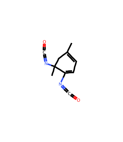 CC1=CC=C(N=C=O)C(C)(N=C=O)C1